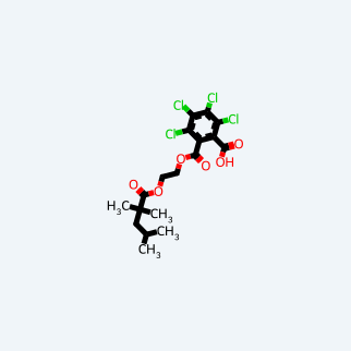 CC(C)CC(C)(C)C(=O)OCCOC(=O)c1c(Cl)c(Cl)c(Cl)c(Cl)c1C(=O)O